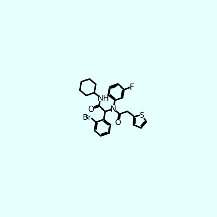 O=C(NC1CCCCC1)C(c1ccccc1Br)N(C(=O)Cc1cccs1)c1cccc(F)c1